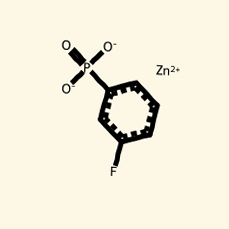 O=P([O-])([O-])c1cccc(F)c1.[Zn+2]